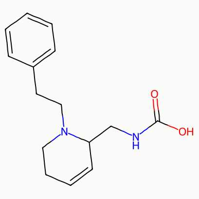 O=C(O)NCC1C=CCCN1CCc1ccccc1